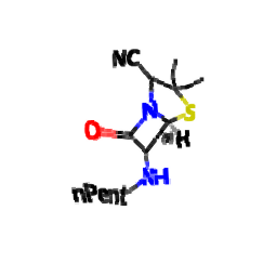 CCCCCNC1C(=O)N2C(C#N)C(C)(C)S[C@@H]12